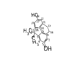 CC1(C)c2cc(O)cc3c2-c2c(cc(O)cc21)CC3